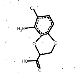 Nc1c(Cl)ccc2c1OC(C(=O)O)CO2